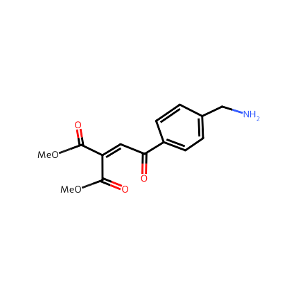 COC(=O)C(=CC(=O)c1ccc(CN)cc1)C(=O)OC